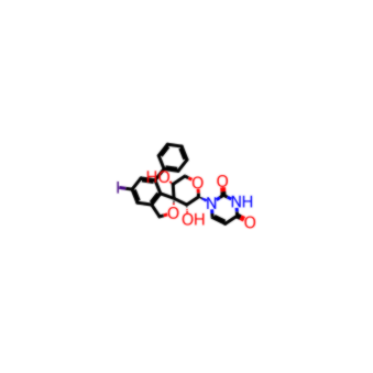 O=c1ccn([C@@H]2OC[C@@H](O)[C@@]3(OCc4cc(I)cc(-c5ccccc5)c43)[C@H]2O)c(=O)[nH]1